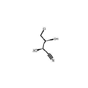 N#C[C@@H](O)[C@H](O)CCl